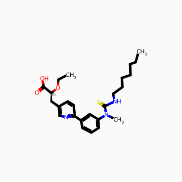 CCCCCCCNC(=S)N(C)c1cccc(-c2ccc(C[C@H](OCC)C(=O)O)cn2)c1